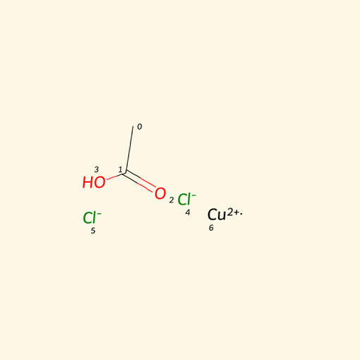 CC(=O)O.[Cl-].[Cl-].[Cu+2]